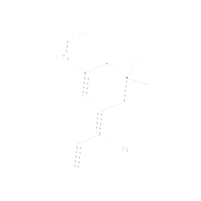 C=C/C(C#N)=C1\C=C(NCCCCCC)CC(C)(C)C1